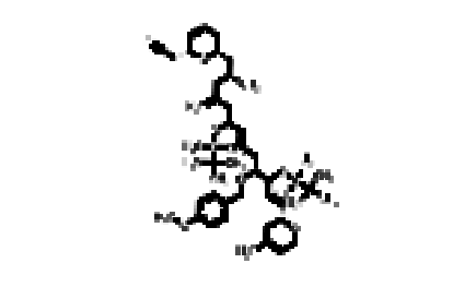 C#CC[C@@H]1C=CC[C@@H](C[C@@H](C)CC(=C)CC(/C=C/C[C@H](OCc2ccc(OC)cc2)C(/C=C/[C@@H]2CC(C)=CCO2)O[Si](C)(C)C(C)(C)C)O[Si](C)(C)C(C)(C)C)O1